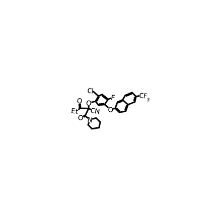 CCC(=O)C(C#N)(Oc1cc(Oc2ccc3cc(C(F)(F)F)ccc3c2)c(F)cc1Cl)C(=O)N1CCCCC1